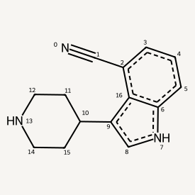 N#Cc1cccc2[nH]cc(C3CCNCC3)c12